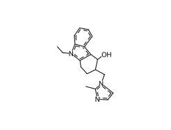 CCn1c2c(c3ccccc31)C(O)C(Cn1ccnc1C)CC2